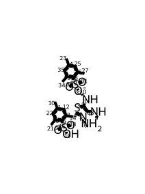 CNc1sc[n+](N)c1NC.Cc1cc(C)c(S(=O)(=O)O)c(C)c1.Cc1cc(C)c(S(=O)(=O)[O-])c(C)c1